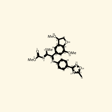 COC(=O)/N=C(SC)/C(=N/c1ccc(-c2noc(C)n2)cc1)c1cc(OC)c2c(c1)C(OC)CO2